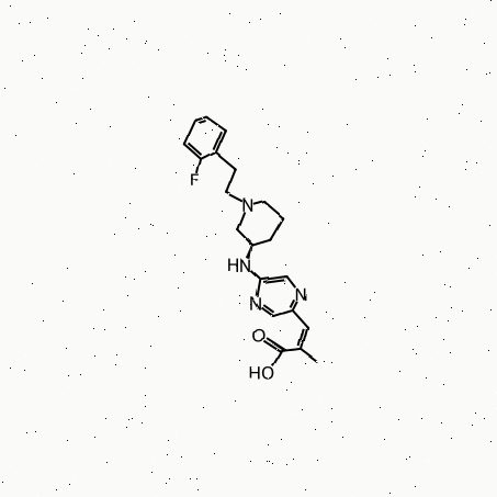 CC(=Cc1cnc(N[C@@H]2CCCN(CCc3ccccc3F)C2)cn1)C(=O)O